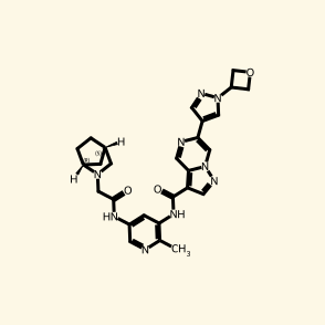 Cc1ncc(NC(=O)CN2C[C@H]3CC[C@@H]2C3)cc1NC(=O)c1cnn2cc(-c3cnn(C4COC4)c3)ncc12